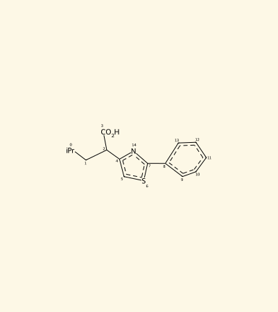 CC(C)CC(C(=O)O)c1csc(-c2ccccc2)n1